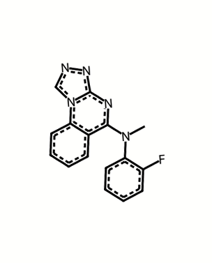 CN(c1ccccc1F)c1nc2nncn2c2ccccc12